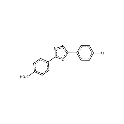 O=C(O)c1ccc(-c2nnc(-c3ccc(Cl)cc3)o2)cc1